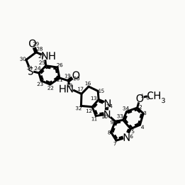 COc1ccc2nccc(-n3cc4c(n3)CCC(NC(=O)c3ccc5c(c3)NC(=O)CS5)C4)c2c1